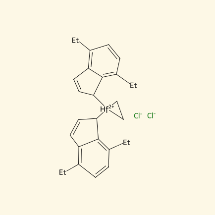 CCc1ccc(CC)c2c1C=C[CH]2[Hf+2]1([CH]2C=Cc3c(CC)ccc(CC)c32)[CH2][CH2]1.[Cl-].[Cl-]